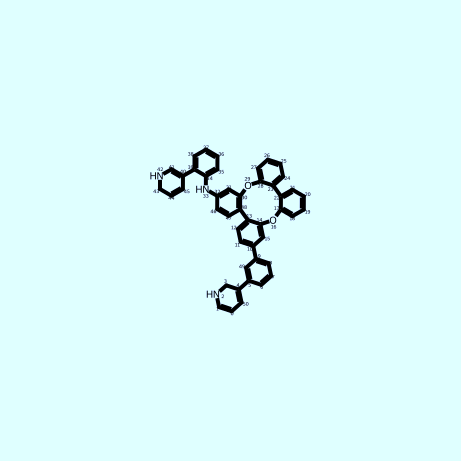 C1=CNCC(c2cccc(-c3ccc4c(c3)Oc3ccccc3-c3ccccc3Oc3cc(Nc5ccccc5C5=CNCC=C5)ccc3-4)c2)=C1